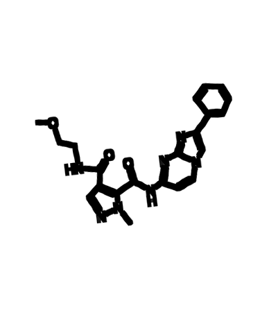 COCCNC(=O)c1cnn(C)c1C(=O)Nc1ccn2cc(-c3ccccc3)nc2n1